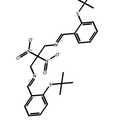 CC(C)(C)Sc1ccccc1/C=N/CC(C/N=C/c1ccccc1SC(C)(C)C)([N+](=O)[O-])[N+](=O)[O-]